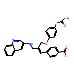 CC(=O)Nc1ccc(OCC(=Cc2ccc(C(=O)O)cc2)CNc2cnc3ccccc3c2)cc1